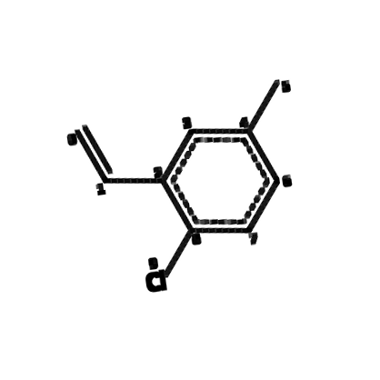 C=Cc1cc(C)ccc1Cl